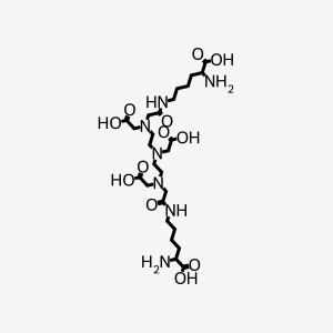 NC(CCCCNC(=O)CN(CCN(CCN(CC(=O)O)CC(=O)NCCCCC(N)C(=O)O)CC(=O)O)CC(=O)O)C(=O)O